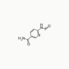 NC(=O)c1ccc(NP=O)nc1